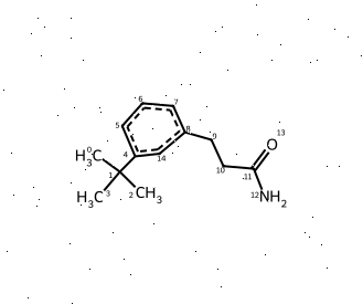 CC(C)(C)c1cccc(CCC(N)=O)c1